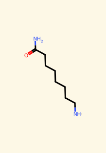 [NH]CCCCCCCC(N)=O